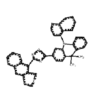 CC1(C)c2ccccc2N(c2cccc3ccccc23)c2cc(-c3nc(-c4c5ccccc5cc5ccccc45)ns3)ccc21